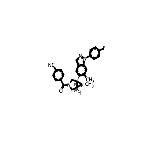 Cc1cc2c(cnn2-c2ccc(F)cc2)cc1[C@@]12CN(C(=O)c3ccc(C#N)cc3)C[C@@H]1[C@H]2C